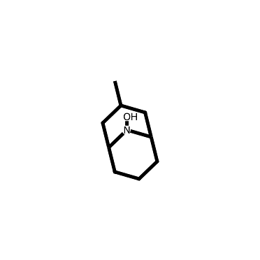 CC1CC2CCCC(C1)N2O